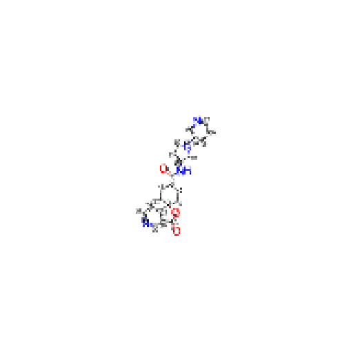 O=C1OC2(CCC(C(=O)N[C@H]3CCN(c4cccnc4)C3)CC2)c2ccncc21